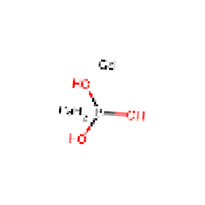 OB(O)O.[CaH2].[Gd]